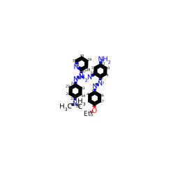 CCOc1ccc(N=Nc2ccc(N)cc2N)cc1.CN(C)c1ccc(N=Nc2ccccn2)cc1